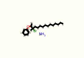 CCCCCCCCCCCCC(C)(Br)C(C)Oc1ccccc1.N